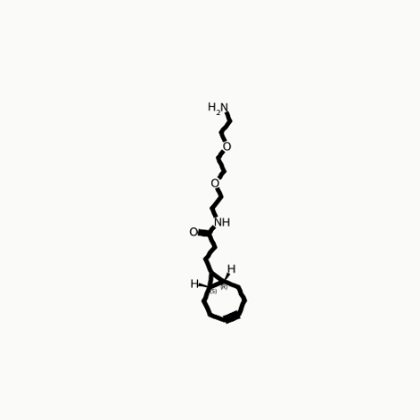 NCCOCCOCCNC(=O)CCC1[C@H]2CCC#CCC[C@@H]12